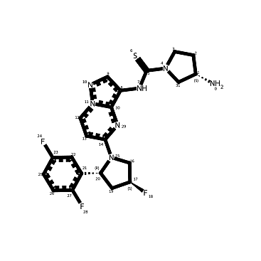 N[C@H]1CCN(C(=S)Nc2cnn3ccc(N4C[C@@H](F)C[C@@H]4c4cc(F)ccc4F)nc23)C1